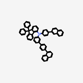 c1ccc(C2(c3ccccc3)c3ccccc3-c3c(N(c4ccc(-c5ccc6ccccc6c5)cc4)c4cccc(-c5ccc(-c6cccc7ccccc67)cc5)c4)cccc32)cc1